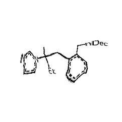 CCCCCCCCCCCc1ccccc1CC(C)(CC)n1ccnc1